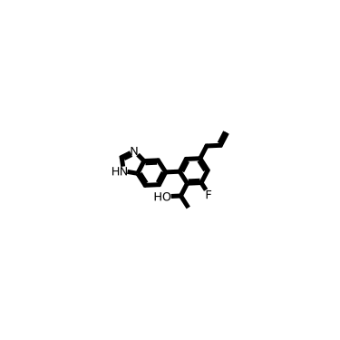 C=CCc1cc(F)c(C(C)O)c(-c2ccc3[nH]cnc3c2)c1